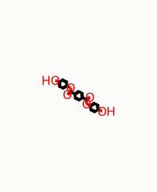 O=C(Oc1ccc(O)cc1)c1ccc(C(=O)Oc2ccc(O)cc2)cc1